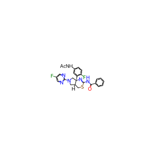 CC(=O)Nc1ccc(F)c([C@]23CN(c4ncc(F)cn4)C[C@H]2CSC(NC(=O)c2ccccc2)=N3)c1